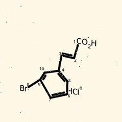 Cl.O=C(O)C=Cc1cccc(Br)c1